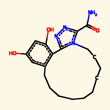 NC(=O)c1nnc2n1CCCCCCCCCCc1cc(O)cc(O)c1-2